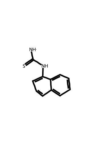 [NH]C(=S)Nc1cccc2ccccc12